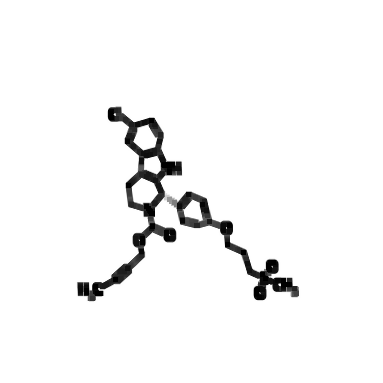 CC#CCOC(=O)N1CCc2c([nH]c3ccc(Cl)cc23)[C@@H]1c1ccc(OCCCS(C)(=O)=O)cc1